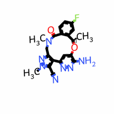 C[C@H]1Oc2cc(nnc2N)-c2c(nn(C)c2C#N)CN(C)C(=O)c2ccc(F)cc21